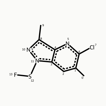 Cc1cc2c(nc1Cl)c(C)nn2SF